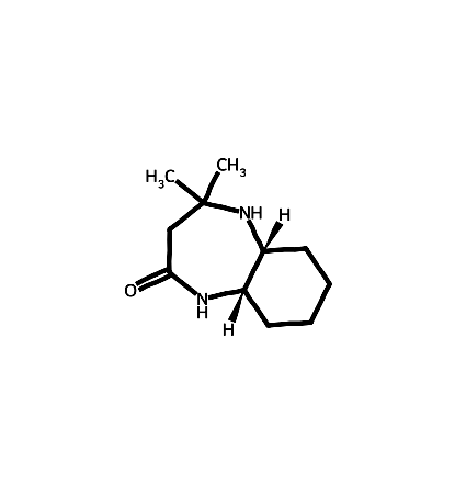 CC1(C)CC(=O)N[C@H]2CCCC[C@H]2N1